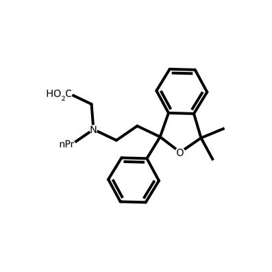 CCCN(CCC1(c2ccccc2)OC(C)(C)c2ccccc21)CC(=O)O